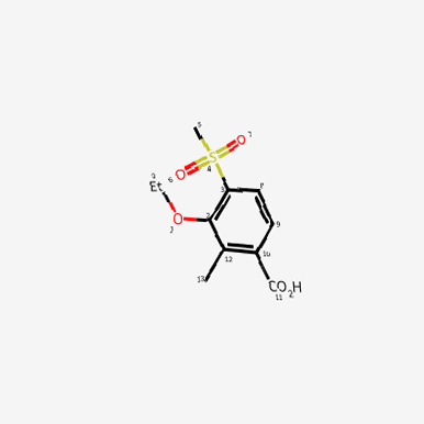 CCOc1c(S(C)(=O)=O)ccc(C(=O)O)c1C